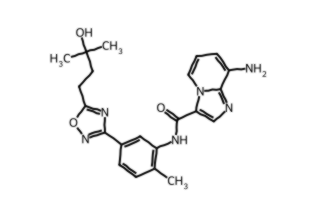 Cc1ccc(-c2noc(CCC(C)(C)O)n2)cc1NC(=O)c1cnc2c(N)cccn12